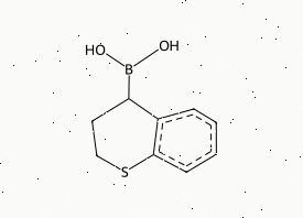 OB(O)C1CCSc2ccccc21